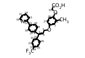 Cc1cc(OC/C=C(\c2ccc(-c3ccccn3)cc2)c2ccc(C(F)(F)F)cc2)ccc1OCC(=O)O